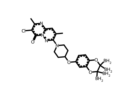 BC1(B)Oc2ccc(OC3CCN(c4nn5c(=O)c(Cl)c(C)nc5cc4C)CC3)cc2OC1(B)B